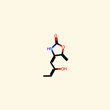 C=c1oc(=O)[nH]/c1=C/C(O)=C\C